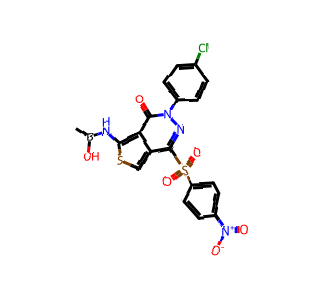 CB(O)Nc1scc2c(S(=O)(=O)c3ccc([N+](=O)[O-])cc3)nn(-c3ccc(Cl)cc3)c(=O)c12